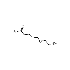 CC(C)CCOCCCCC(=O)C(C)C